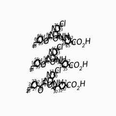 O=C(O)c1ccc(C2(NC(=O)c3cc(Cl)cnc3N3CC(C(=O)c4cccc(F)c4)C3)CC2)cc1.O=C(O)c1ccc(CNC(=O)c2cc(Cl)cnc2N2CC(Oc3cccc(F)c3)C2)cc1.O=C(O)c1ccc(CNC(=O)c2cc(Cl)cnc2N2CC(Oc3cccc(F)c3)C2)nc1